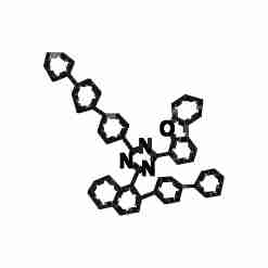 c1ccc(-c2ccc(-c3ccc(-c4nc(-c5c(-c6ccc(-c7ccccc7)cc6)ccc6ccccc56)nc(-c5cccc6c5oc5ccccc56)n4)cc3)cc2)cc1